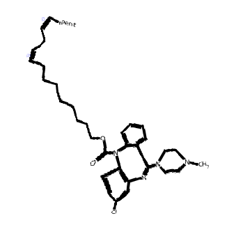 CCCCC/C=C\C/C=C\CCCCCCCCOC(=O)N1c2ccc(Cl)cc2N=C(N2CCN(C)CC2)c2ccccc21